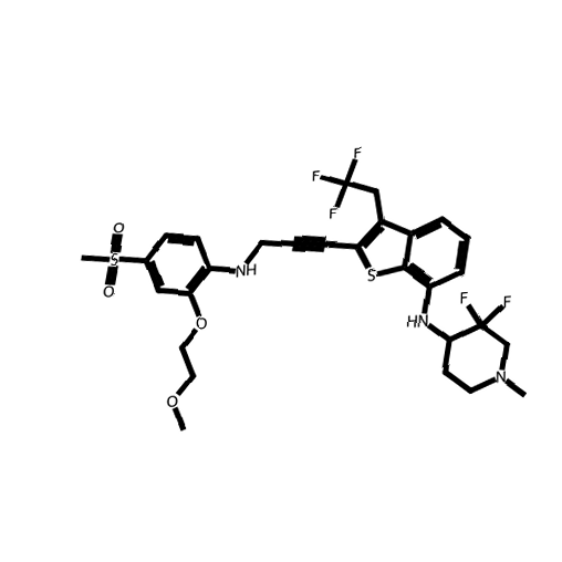 COCCOc1cc(S(C)(=O)=O)ccc1NCC#Cc1sc2c(NC3CCN(C)CC3(F)F)cccc2c1CC(F)(F)F